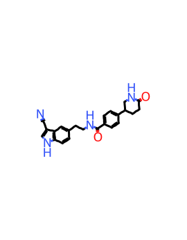 N#Cc1c[nH]c2ccc(CCNC(=O)c3ccc(C4CCC(=O)NC4)cc3)cc12